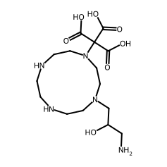 NCC(O)CN1CCNCCNCCN(C(C(=O)O)(C(=O)O)C(=O)O)CC1